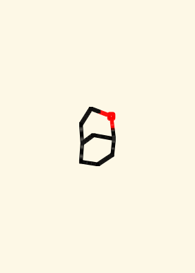 C1CC2CCOC(C1)C2